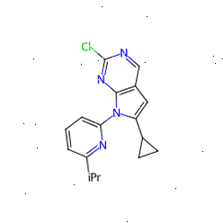 CC(C)c1cccc(-n2c(C3CC3)cc3cnc(Cl)nc32)n1